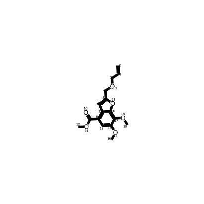 C=CCOCc1cc2c(C(=O)OC)cc(OC)c(OC)c2o1